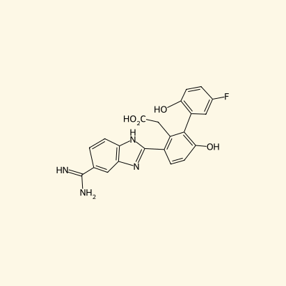 N=C(N)c1ccc2[nH]c(-c3ccc(O)c(-c4cc(F)ccc4O)c3CC(=O)O)nc2c1